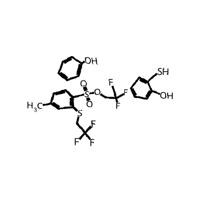 Cc1ccc(S(=O)(=O)OCC(F)(F)F)c(SCC(F)(F)F)c1.Oc1ccccc1.Oc1ccccc1S